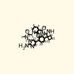 CN(C)C(=O)Cn1cccc(C(=O)NC(=N)C2(c3ccc(-c4cnc(N)nc4)cc3)CCC2)c1=O